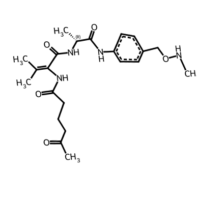 CNOCc1ccc(NC(=O)[C@@H](C)NC(=O)C(NC(=O)CCCC(C)=O)=C(C)C)cc1